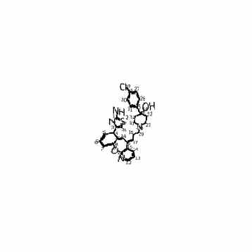 Nc1nc(C2C=CC=C3Oc4ncccc4C(=CCCN4CCC(O)(c5ccc(Cl)cc5)CC4)C=C32)cs1